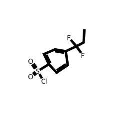 CCC(F)(F)c1ccc(S(=O)(=O)Cl)cc1